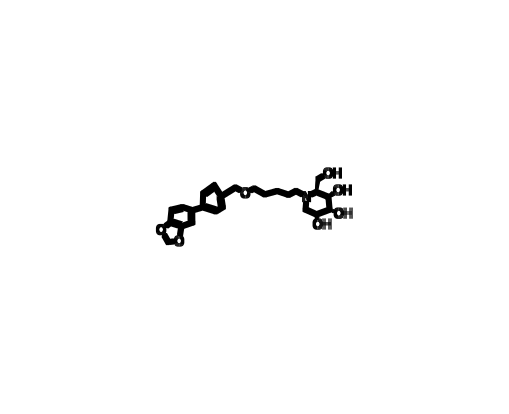 OC[C@H]1[C@@H](O)[C@H](O)[C@@H](O)CN1CCCCCOCc1ccc(-c2ccc3c(c2)OCO3)cc1